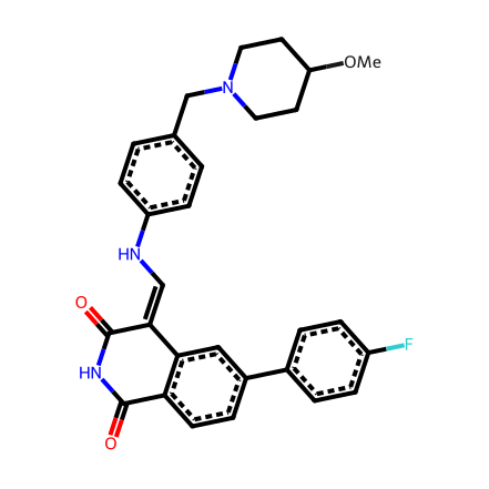 COC1CCN(Cc2ccc(NC=C3C(=O)NC(=O)c4ccc(-c5ccc(F)cc5)cc43)cc2)CC1